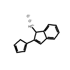 [Cl-].[Cl-].[Hf+2][CH]1C(C2=CC=CC2)=Cc2ccccc21